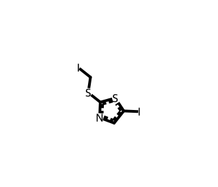 ICSc1ncc(I)s1